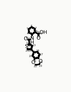 O=C(Nc1ccccc1C(=O)O)c1cc(-c2ccc3c(c2)OCCO3)cs1